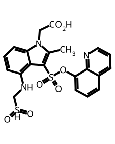 Cc1c(S(=O)(=O)Oc2cccc3cccnc23)c2c(NC[SH](=O)=O)cccc2n1CC(=O)O